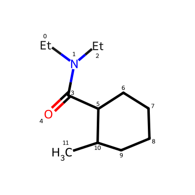 CCN(CC)C(=O)C1CCCCC1C